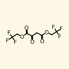 O=C(CC(=O)C(=O)OCC(F)(F)F)OCC(F)(F)F